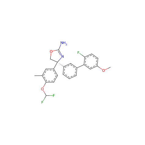 COc1ccc(F)c(-c2cccc([C@]3(c4ccc(OC(F)F)c(C)c4)COC(N)=N3)c2)c1